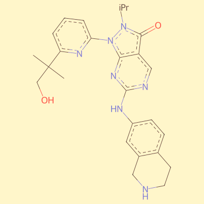 CC(C)n1c(=O)c2cnc(Nc3ccc4c(c3)CNCC4)nc2n1-c1cccc(C(C)(C)CO)n1